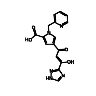 O=C(C=C(O)c1nc[nH]n1)c1cc(C(=O)O)n(Cc2ccccn2)c1